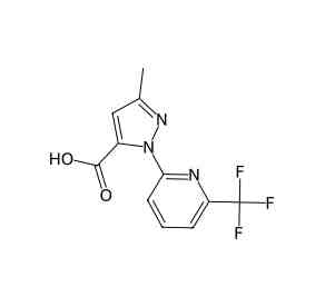 Cc1cc(C(=O)O)n(-c2cccc(C(F)(F)F)n2)n1